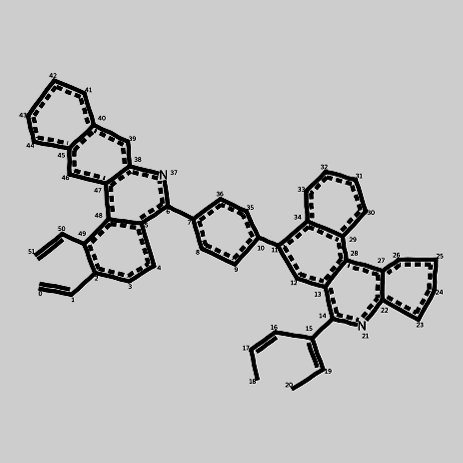 C=Cc1ccc2c(-c3ccc(-c4cc5c(C(/C=C\C)=C/C)nc6ccccc6c5c5ccccc45)cc3)nc3cc4ccccc4cc3c2c1C=C